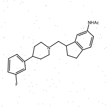 CC(=O)Nc1ccc2c(c1)C(CN1CCC(c3cccc(F)c3)CC1)CC2